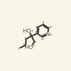 CCCC(O)(CO)c1cccnc1